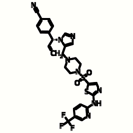 C=C[C@H](c1ccc(C#N)cc1)n1cncc1CN1CCN(S(=O)(=O)c2cnc(Nc3ccc(C(F)(F)F)cn3)s2)CC1